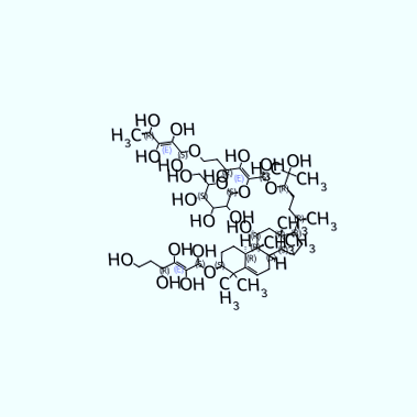 C[C@H](CC[C@@H](O[C@H](O)/C(O[C@@H]1OC(CO)[C@@H](O)C(O)C1O)=C(\O)[C@H](O)CCO[C@H](O)/C(O)=C(\O)[C@@H](C)O)C(C)(C)O)[C@H]1CC[C@@]2(C)[C@@H]3CC=C4[C@@H](CC[C@H](O[C@H](O)/C(O)=C(\O)[C@H](O)CCO)C4(C)C)[C@]3(C)[C@H](O)C[C@]12C